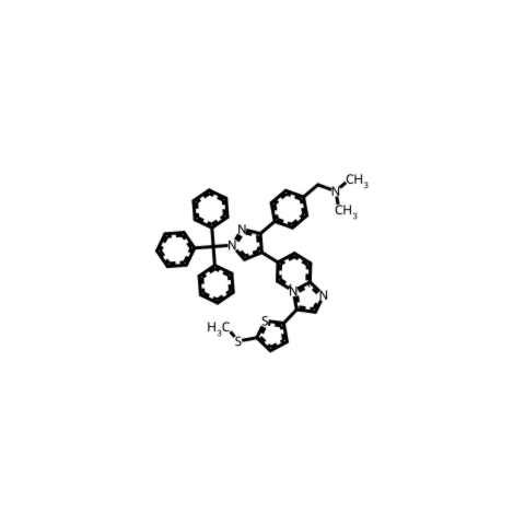 CSc1ccc(-c2cnc3ccc(-c4cn(C(c5ccccc5)(c5ccccc5)c5ccccc5)nc4-c4ccc(CN(C)C)cc4)cn23)s1